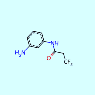 Nc1cccc(NC(=O)CC(F)(F)F)c1